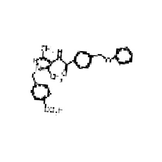 Cc1nn(Cc2ccc(C(=O)O)cc2)c(C)c1NC(=O)c1ccc(COc2ccccc2)cc1